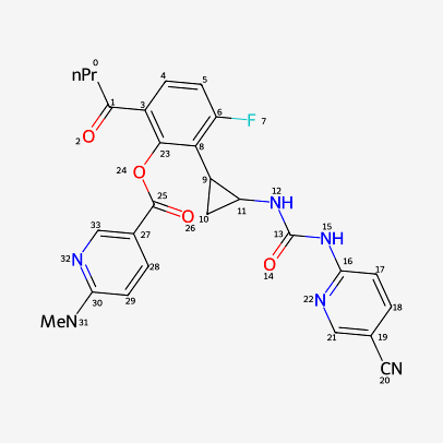 CCCC(=O)c1ccc(F)c(C2CC2NC(=O)Nc2ccc(C#N)cn2)c1OC(=O)c1ccc(NC)nc1